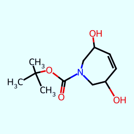 CC(C)(C)OC(=O)N1CC(O)C=CC(O)C1